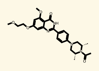 COCCOc1cc(OC)c2c(=O)[nH]c(-c3ccc(N4C[C@@H](C)N(C(C)=O)[C@@H](C)C4)cc3)nc2c1